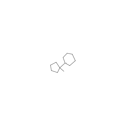 CC1([C]2CCCCC2)CCCC1